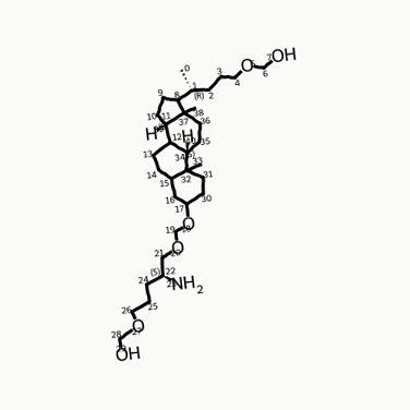 C[C@H](CCCOCO)C1CC[C@H]2C3CCC4CC(OCOC[C@@H](N)CCCOCO)CCC4(C)[C@H]3CCC12C